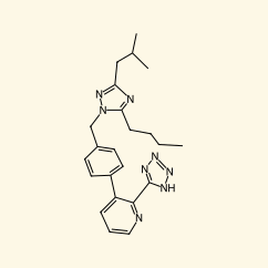 CCCCc1nc(CC(C)C)nn1Cc1ccc(-c2cccnc2-c2nnn[nH]2)cc1